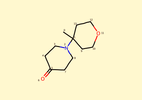 CC1(N2CCC(=O)CC2)CCOCC1